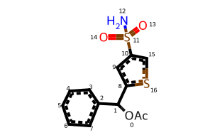 CC(=O)OC(c1ccccc1)c1cc(S(N)(=O)=O)cs1